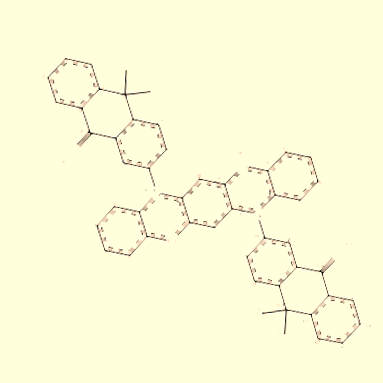 CC1(C)c2ccccc2C(=O)c2cc(-n3c4ccccc4oc4cc5c(cc43)oc3ccccc3n5-c3ccc4c(c3)C(=O)c3ccccc3C4(C)C)ccc21